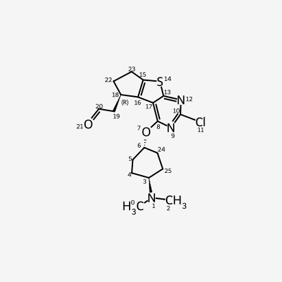 CN(C)[C@H]1CC[C@H](Oc2nc(Cl)nc3sc4c(c23)[C@@H](CC=O)CC4)CC1